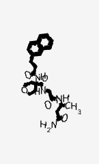 CC(CC(N)=O)NC(=O)CNC(=O)C1(NC(=O)CCc2ccc3ccccc3c2)CCOCC1